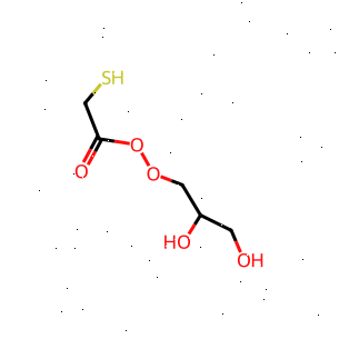 O=C(CS)OOCC(O)CO